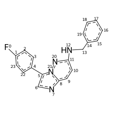 Fc1ccc(-c2cnc3ccc(NCc4ccccc4)nn23)cc1